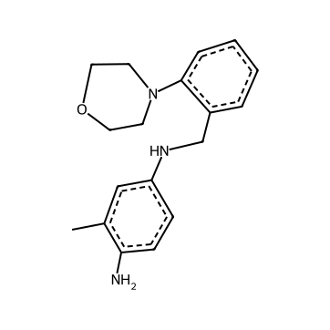 Cc1cc(NCc2ccccc2N2CCOCC2)ccc1N